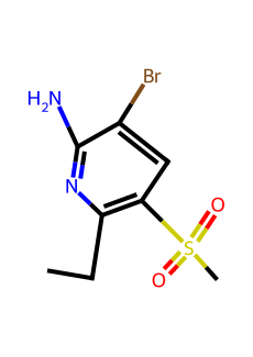 CCc1nc(N)c(Br)cc1S(C)(=O)=O